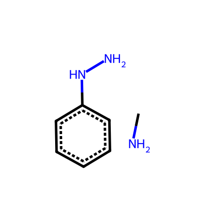 CN.NNc1ccccc1